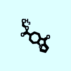 CCOC(=O)C1CCC2C(=O)c3cccn3C2CC1